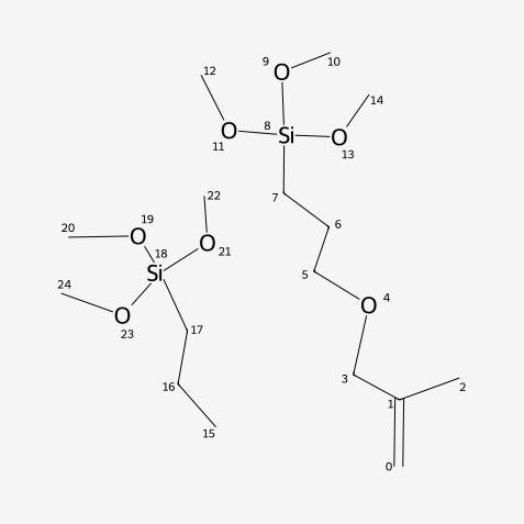 C=C(C)COCCC[Si](OC)(OC)OC.CCC[Si](OC)(OC)OC